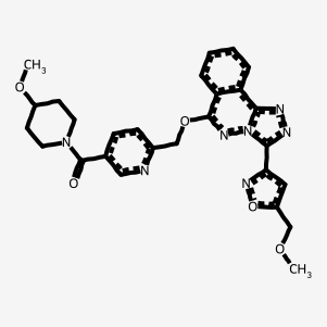 COCc1cc(-c2nnc3c4ccccc4c(OCc4ccc(C(=O)N5CCC(OC)CC5)cn4)nn23)no1